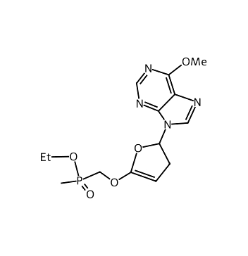 CCOP(C)(=O)COC1=CCC(n2cnc3c(OC)ncnc32)O1